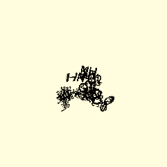 COC(=O)c1ccc2c(c1)OC(c1cccc(C(=N)N)c1)C(=O)N2CCCCCN1C(C)CCCC1C